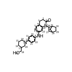 O=C1CCc2cnc(Nc3ccc(N4CCCC(CO)C4)cc3)cc2N1C1CC2CCC1C2